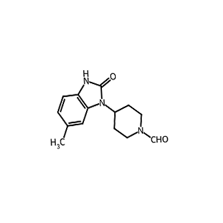 Cc1ccc2[nH]c(=O)n(C3CCN(C=O)CC3)c2c1